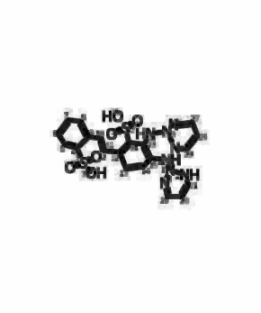 O=S(=O)(O)c1ccccc1C=Cc1ccc(NN2N=CC=CN2)c(NN2N=CC=CN2)c1S(=O)(=O)O